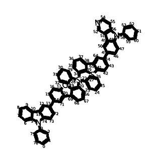 c1ccc(-n2c3ccccc3c3cc(-c4ccc5oc6c([Si](c7ccccc7)(c7ccccc7)c7cccc8c7sc7ccc(-c9ccc%10c(c9)c9cnccc9n%10-c9ccccc9)cc78)cccc6c5c4)ccc32)cc1